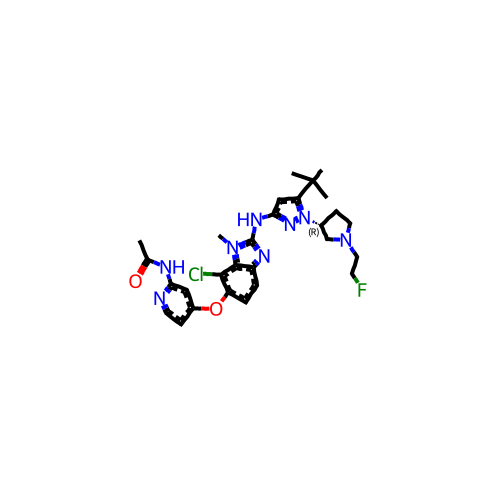 CC(=O)Nc1cc(Oc2ccc3nc(Nc4cc(C(C)(C)C)n([C@@H]5CCN(CCF)C5)n4)n(C)c3c2Cl)ccn1